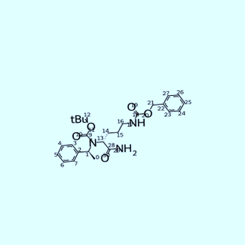 C[C@@H](c1ccccc1)N(C(=O)OC(C)(C)C)[C@H](CCCNC(=O)OCc1ccccc1)C(N)=O